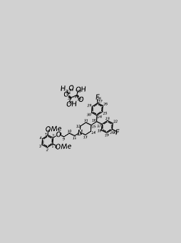 COc1cccc(OC)c1OCCCN1CCC(C(c2ccc(F)cc2)c2ccc(F)cc2)CC1.O.O=C(O)C(=O)O